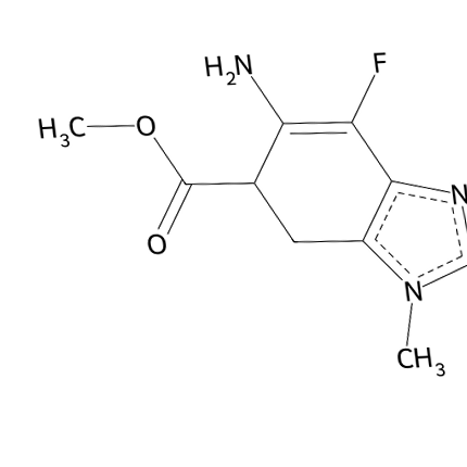 COC(=O)C1Cc2c(ncn2C)C(F)=C1N